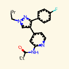 CCC(=O)Nc1cc(-c2cn(CC(C)C)nc2-c2ccc(F)cc2)ccn1